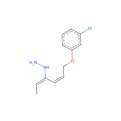 C/C=C(\C=C/COc1cccc(Cl)c1)NN